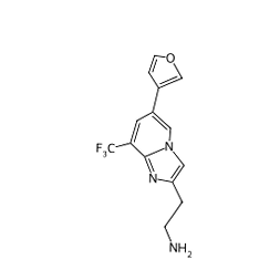 NCCc1cn2cc(-c3ccoc3)cc(C(F)(F)F)c2n1